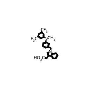 CN(c1cccc(Cn2cc(CC(=O)O)c3ccccc32)c1)c1cc(C(F)(F)F)cc(C(F)(F)F)c1